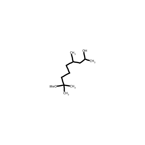 COC(C)(C)CCCC(C)CC(C)O